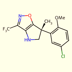 COc1ccc(Cl)cc1[C@]1(C)CNc2c(C(F)(F)F)noc21